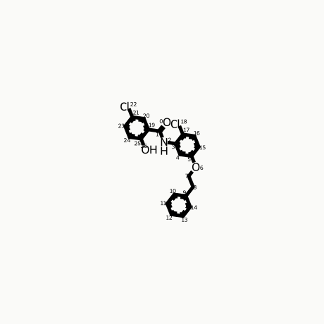 O=C(Nc1cc(OCCc2ccccc2)ccc1Cl)c1cc(Cl)ccc1O